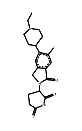 CCN1CCC(c2cc3c(cc2F)C(=O)N(C2CCC(=O)NC2=O)C3)CC1